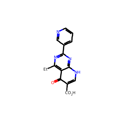 CCc1nc(-c2cccnc2)nc2[nH]cc(C(=O)O)c(=O)c12